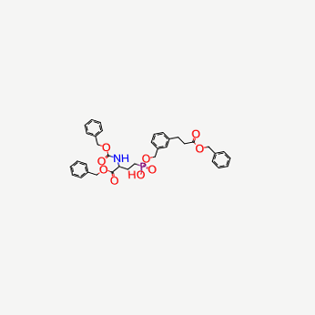 O=C(CCc1cccc(COP(=O)(O)CCC(NC(=O)OCc2ccccc2)C(=O)OCc2ccccc2)c1)OCc1ccccc1